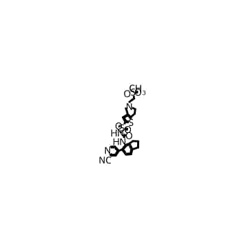 CS(=O)(=O)CCN1CCc2sc(S(=O)(=O)NC(=O)Nc3c(-c4ccnc(C#N)c4)ccc4c3CCC4)cc2C1